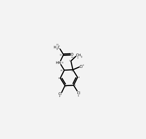 CCC1(Cl)C=C(Cl)C(Cl)=CC1NC(C)=O